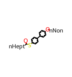 CCCCCCCCCOc1ccc(-c2ccc(SC(=O)CCCCCCC)cc2)cc1